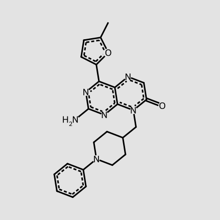 Cc1ccc(-c2nc(N)nc3c2ncc(=O)n3CC2CCN(c3ccccc3)CC2)o1